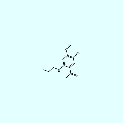 CCCNc1cc(OC)c(S)cc1C(C)=O